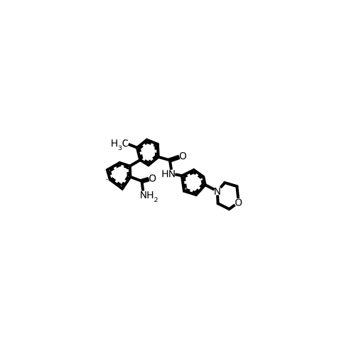 Cc1ccc(C(=O)Nc2ccc(N3CCOCC3)cc2)cc1-c1cc[c]cc1C(N)=O